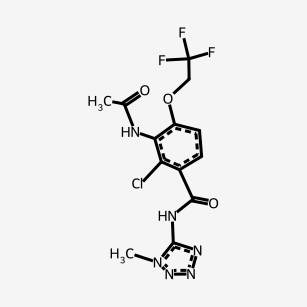 CC(=O)Nc1c(OCC(F)(F)F)ccc(C(=O)Nc2nnnn2C)c1Cl